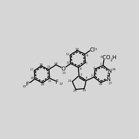 O=C(O)c1cc(C2=C(c3cc(Cl)ccc3OCc3ccc(F)cc3F)CCC2)cnn1